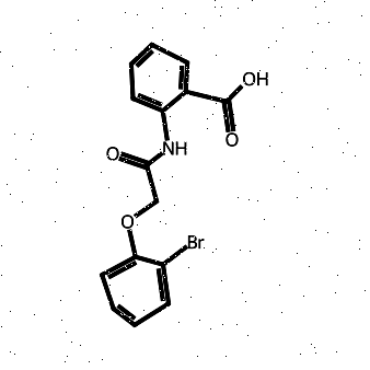 O=C(COc1ccccc1Br)Nc1ccccc1C(=O)O